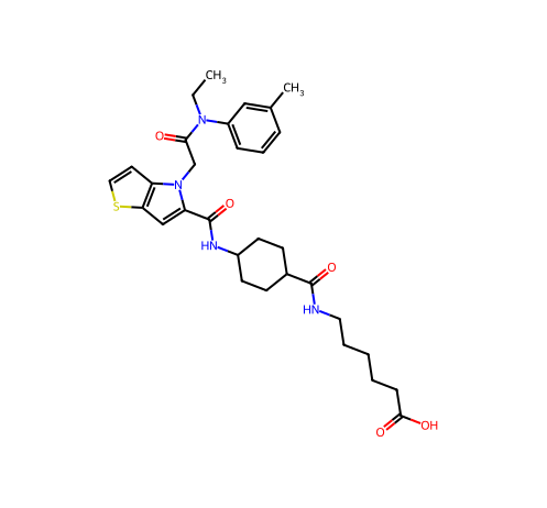 CCN(C(=O)Cn1c(C(=O)NC2CCC(C(=O)NCCCCCC(=O)O)CC2)cc2sccc21)c1cccc(C)c1